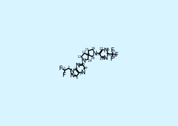 FC(F)Cn1ncc2ncc(N3CCC4(CCN(c5cnc(C(F)(F)F)nc5)C4)C3)nc21